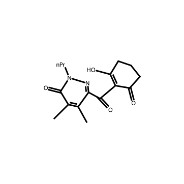 CCCn1nc(C(=O)C2=C(O)CCCC2=O)c(C)c(C)c1=O